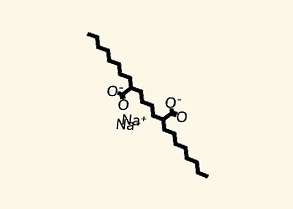 CCCCCCCCC(CCCCC(CCCCCCCC)C(=O)[O-])C(=O)[O-].[Na+].[Na+]